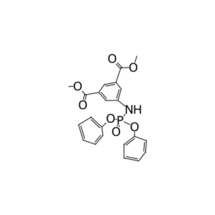 COC(=O)c1cc(NP(=O)(Oc2ccccc2)Oc2ccccc2)cc(C(=O)OC)c1